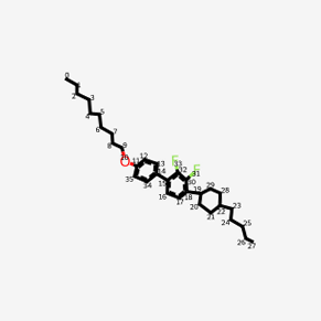 CCCCCCCCCCOc1ccc(-c2ccc(C3CCC(CCCCC)CC3)c(F)c2F)cc1